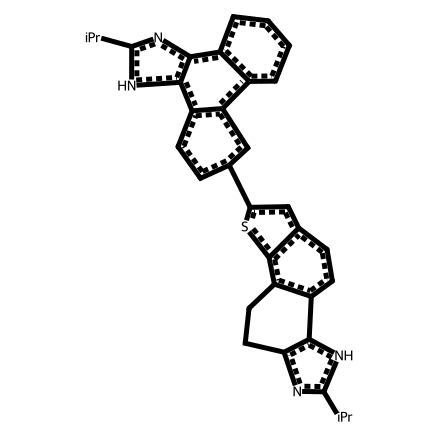 CC(C)c1nc2c([nH]1)-c1ccc3cc(-c4ccc5c(c4)c4ccccc4c4nc(C(C)C)[nH]c54)sc3c1CC2